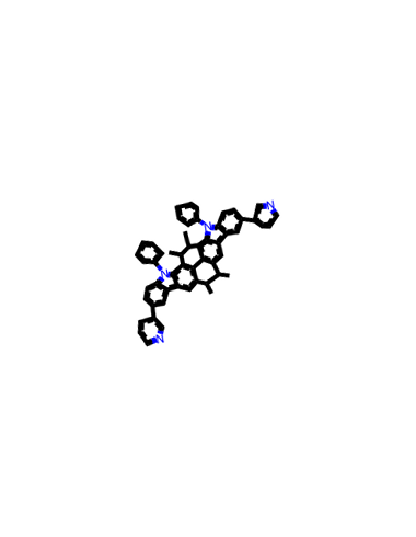 CC1c2cc3c4cc(-c5cccnc5)ccc4n(-c4ccccc4)c3c3c2-c2c(cc4c5cc(-c6cccnc6)ccc5n(-c5ccccc5)c4c2C(C)C3C)C1C